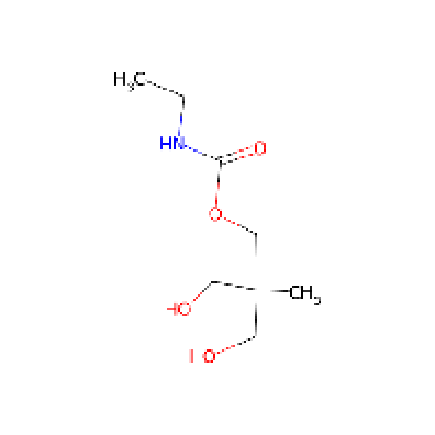 CCNC(=O)OCC(C)(CO)CO